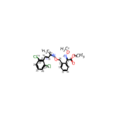 CON=C(C(=O)OC)c1ccccc1CON=C(C)/C=C/c1c(Cl)cccc1Cl